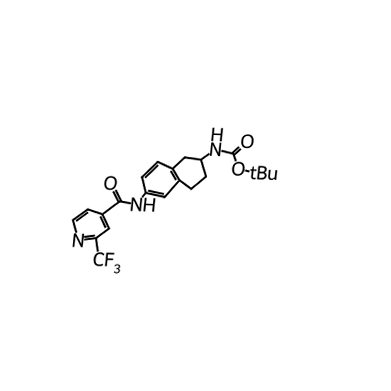 CC(C)(C)OC(=O)NC1CCc2cc(NC(=O)c3ccnc(C(F)(F)F)c3)ccc2C1